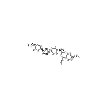 C#CC(OC(=O)Nc1ccc(-c2ncn(-c3ccc(C(F)(F)F)cc3)n2)cc1)c1ccc(C(F)(F)F)cc1